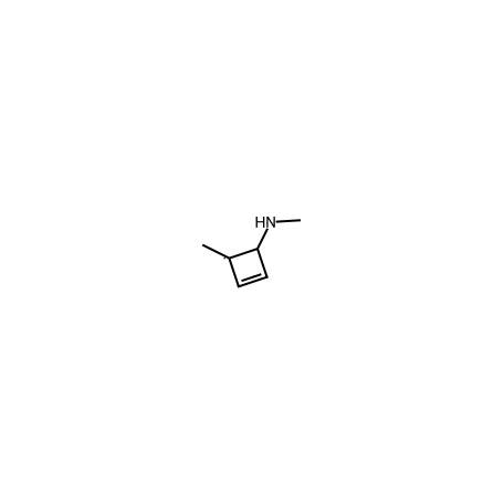 CNC1C=C[C]1C